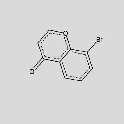 O=c1ccoc2c(Br)cccc12